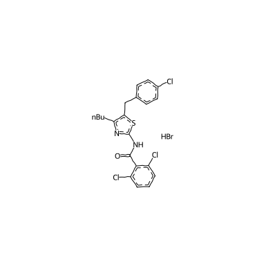 Br.CCCCc1nc(NC(=O)c2c(Cl)cccc2Cl)sc1Cc1ccc(Cl)cc1